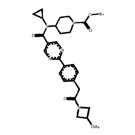 COC1CN(C(=O)Cc2ccc(-c3ncc(C(=O)N(C4CC4)C4CCN(C(=O)OC(C)(C)C)CC4)cn3)cc2)C1